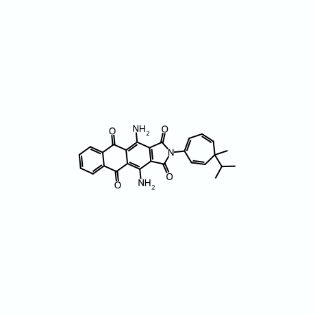 CC(C)C1(C)C=CC=C(n2c(=O)c3c(N)c4c(=O)c5ccccc5c(=O)c4c(N)c3c2=O)C=C1